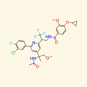 COCC(C)(NC(C)=O)c1cc(-c2ccc(F)c(Cl)c2)nc(C(CNC(=O)c2ccc(OC3CC3)c(OC)c2)C(F)(F)F)c1